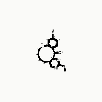 CSc1ncc2c(n1)C(=O)c1ccc(F)cc1OCCCC2